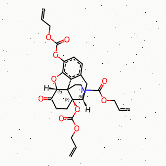 C=CCOC(=O)Oc1ccc2c3c1O[C@H]1C(=O)CC[C@@]4(OC(=O)OCC=C)[C@@H](C2)N(C(=O)OCC=C)CCC314